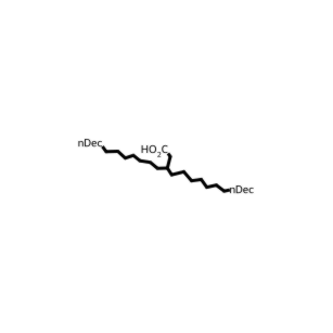 CCCCCCCCCCCCCCCCCC(CCCCCCCCCCCCCCCCC)CC(=O)O